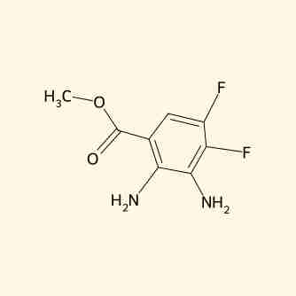 COC(=O)c1cc(F)c(F)c(N)c1N